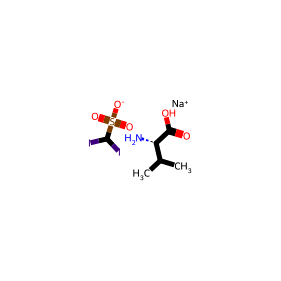 CC(C)[C@H](N)C(=O)O.O=S(=O)([O-])C(I)I.[Na+]